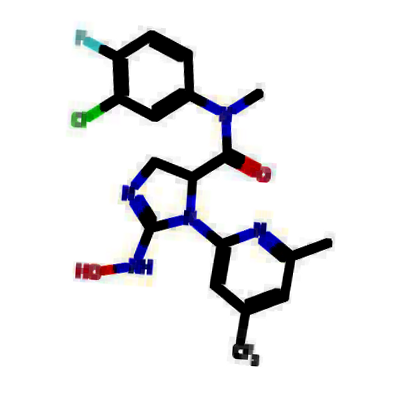 Cc1cc(C(F)(F)F)cc(N2C(NO)=NCC2C(=O)N(C)c2ccc(F)c(Cl)c2)n1